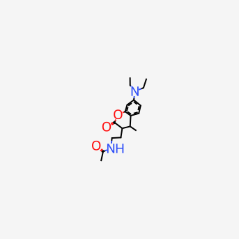 CCN(CC)c1ccc2c(c1)OC(=O)C(CCNC(C)=O)C2C